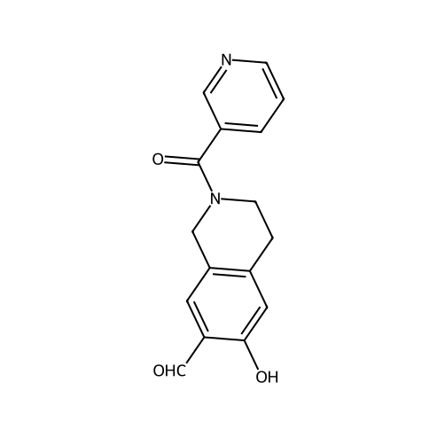 O=Cc1cc2c(cc1O)CCN(C(=O)c1cccnc1)C2